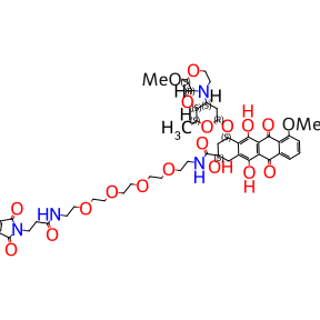 COc1cccc2c1C(=O)c1c(O)c3c(c(O)c1C2=O)C[C@@](O)(C(=O)NCCOCCOCCOCCOCCNC(=O)CCN1C(=O)C=CC1=O)C[C@@H]3O[C@H]1C[C@H]2[C@H](O[C@@H]3[C@@H](OC)OCCN32)[C@H](C)O1